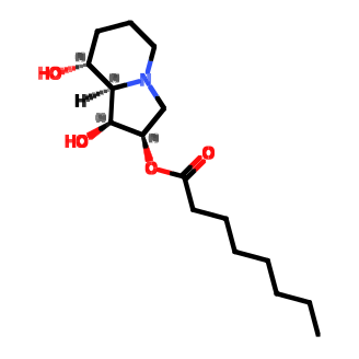 CCCCCCCC(=O)O[C@@H]1CN2CCC[C@@H](O)[C@@H]2[C@@H]1O